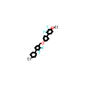 CCOc1ccc(-c2ccc(OCc3ccc(-c4ccc(CC)cc4)c(F)c3F)cc2)c(F)c1F